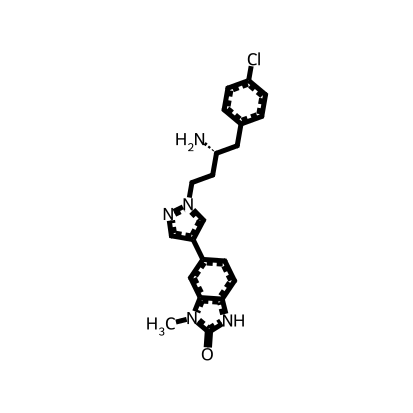 Cn1c(=O)[nH]c2ccc(-c3cnn(CC[C@H](N)Cc4ccc(Cl)cc4)c3)cc21